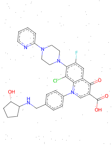 O=C(O)c1cn(-c2ccc(CNC3CCC[C@@H]3O)cc2)c2c(Cl)c(N3CCN(c4ccccn4)CC3)c(F)cc2c1=O